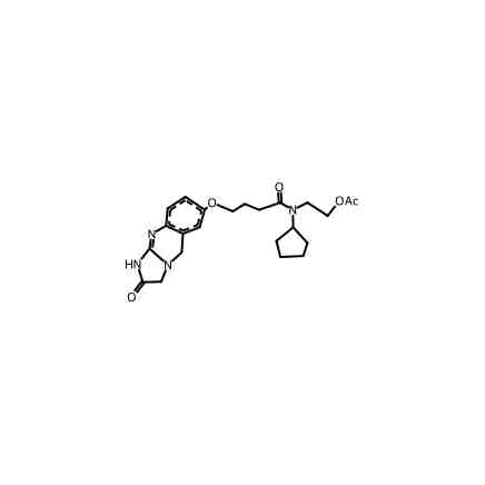 CC(=O)OCCN(C(=O)CCCOc1ccc2c(c1)CN1CC(=O)NC1=N2)C1CCCC1